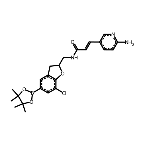 CC1(C)OB(c2cc(Cl)c3c(c2)CC(CNC(=O)C=Cc2ccc(N)nc2)O3)OC1(C)C